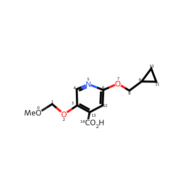 COCOc1cnc(OCC2CC2)cc1C(=O)O